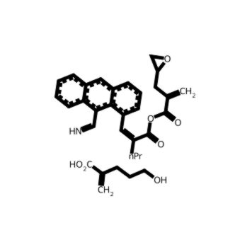 C=C(CC1CO1)C(=O)OC(=O)C(=Cc1cccc2cc3ccccc3c(C=N)c12)CCC.C=C(CCCO)C(=O)O